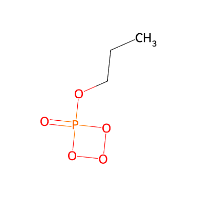 CCCOP1(=O)OOO1